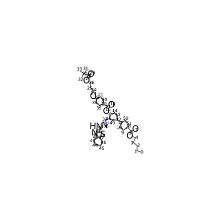 CCCCCOC(=O)c1ccc(-c2ccc(OC(=O)c3ccc(OCCCOC(=O)C(C)(C)C)cc3)c(/C=N/Nc3nc4ccccc4s3)c2)cc1